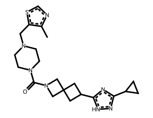 Cc1ncsc1CN1CCN(C(=O)N2CC3(CC(c4nc(C5CC5)n[nH]4)C3)C2)CC1